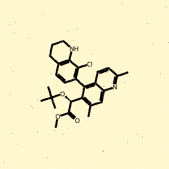 COC(=O)[C@@H](OC(C)(C)C)c1c(C)cc2nc(C)ccc2c1-c1ccc2c(c1Cl)NCCC2